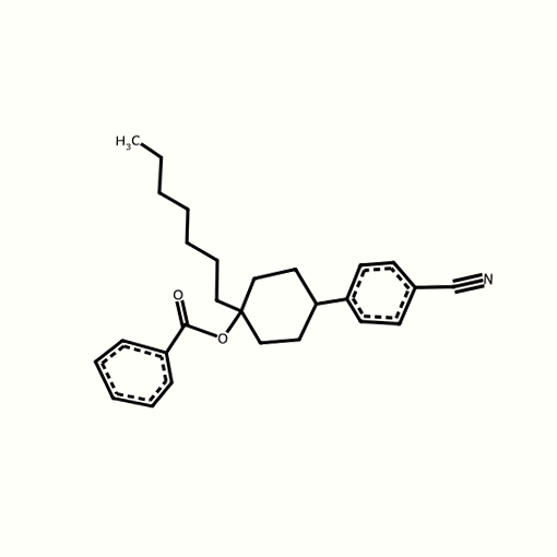 CCCCCCCC1(OC(=O)c2ccccc2)CCC(c2ccc(C#N)cc2)CC1